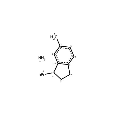 CCCN1CCc2ccc(C)cc21.N